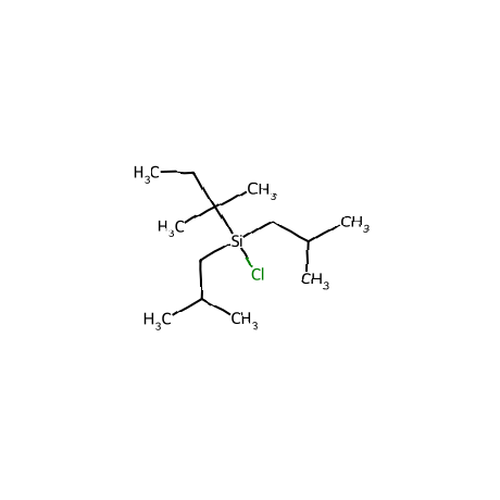 CCC(C)(C)[Si](Cl)(CC(C)C)CC(C)C